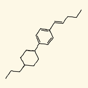 CCCC=Cc1ccc(C2CCC(CCC)CC2)cc1